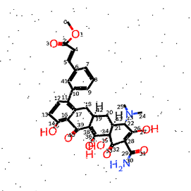 COC(=O)/C=C/c1cccc(-c2ccc(O)c3c2C[C@H]2C[C@H]4[C@H](N(C)C)C(O)=C(C(N)=O)C(=O)[C@@]4(O)C(O)=C2C3=O)c1